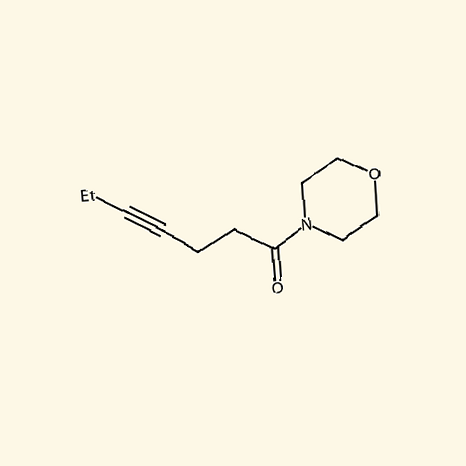 CCC#CCCC(=O)N1CCOCC1